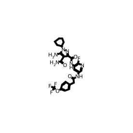 NC(=O)c1c(C(=O)Nc2cc(NC(=O)Cc3ccc(OC(F)(F)F)cc3)cnc2F)nn(C2CCCCC2)c1N